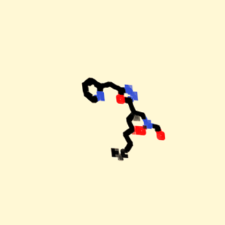 CCCCC[C@H](CN(O)C=O)c1nnc(Cc2ccccn2)o1